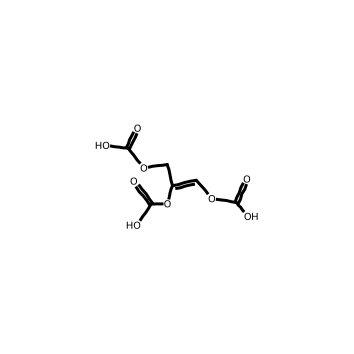 O=C(O)OC=C(COC(=O)O)OC(=O)O